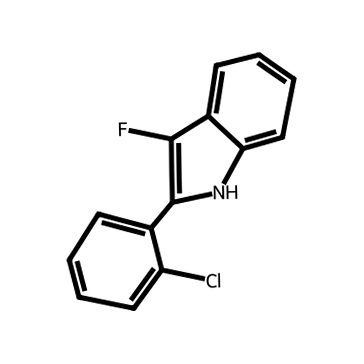 Fc1c(-c2ccccc2Cl)[nH]c2ccccc12